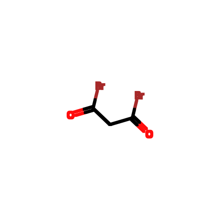 O=C(Br)CC(=O)Br